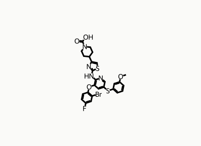 COc1cccc(Sc2cnc(Nc3nc(C4CCN(C(=O)O)CC4)cs3)c(Oc3ccc(F)cc3Br)c2)c1